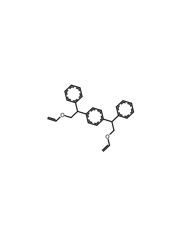 C=COCC(c1ccccc1)c1ccc(C(COC=C)c2ccccc2)cc1